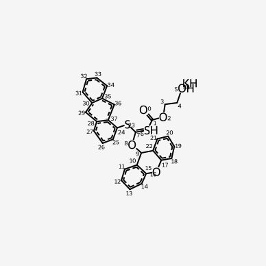 O=C(OCCO)[SH]=C(OC1c2ccccc2Oc2ccccc21)Sc1cccc2cc3ccccc3cc12.[KH]